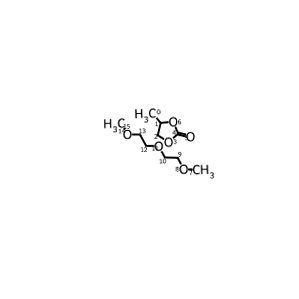 CC1COC(=O)O1.COCCOCCOC